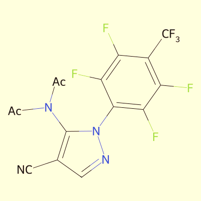 CC(=O)N(C(C)=O)c1c(C#N)cnn1-c1c(F)c(F)c(C(F)(F)F)c(F)c1F